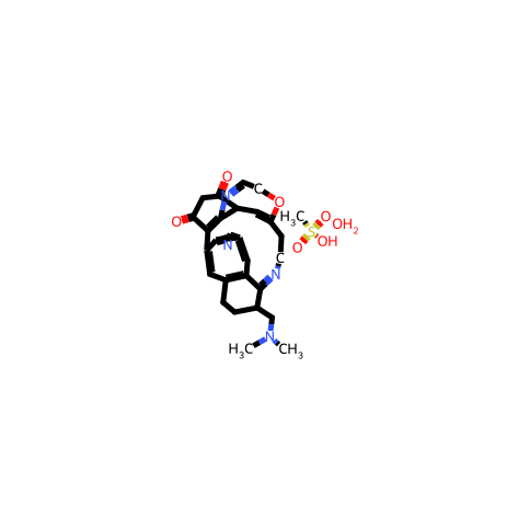 CN(C)CC1CCc2cc3c4cncc-4cc2/C1=N\CC/C1=C/C2C(=O)CC(=O)C3=C2/N=C\CO1.CS(=O)(=O)O.O